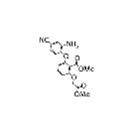 COC(=O)COc1cccc(Oc2ccc(C#N)cc2N)c1C(=O)OC